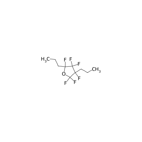 CCCC1(F)OC(F)(F)C(F)(CCC)C1(F)F